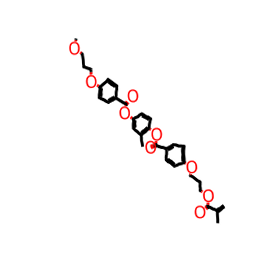 C=C(C)C(=O)OCCCOc1ccc(C(=O)Oc2ccc(OC(=O)c3ccc(OCCCOC)cc3)cc2C)cc1